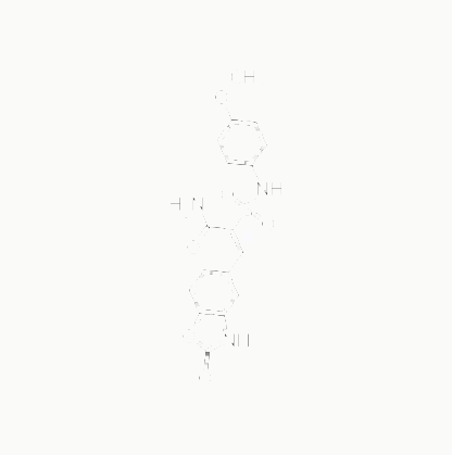 COc1ccc(NS(=O)(=O)/C(=C/c2ccc3oc(=O)[nH]c3c2)C(N)=O)cc1